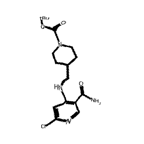 CC(C)(C)OC(=O)N1CCC(CNc2cc(Cl)ncc2C(N)=O)CC1